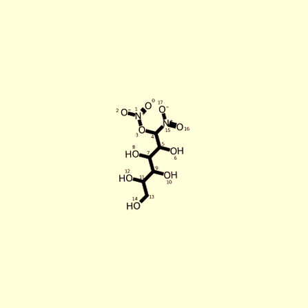 O=[N+]([O-])OC(C(O)C(O)C(O)C(O)CO)[N+](=O)[O-]